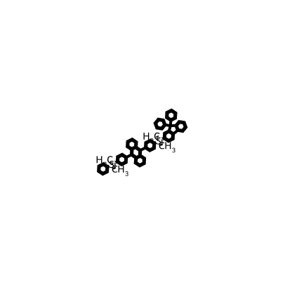 C[Si](C)(c1ccccc1)c1ccc(-c2c3ccccc3c(-c3ccc([Si](C)(C)c4ccc5c(c4)C(c4ccccc4)(c4ccccc4)c4ccccc4-5)cc3)c3ccccc23)cc1